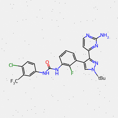 CC(C)(C)n1cc(-c2cccc(NC(=O)Nc3ccc(Cl)c(C(F)(F)F)c3)c2F)c(-c2ccnc(N)n2)n1